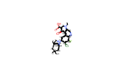 CCn1cc(C(=O)O)c(=O)c2c3cc(N4CC5(C)CC4CC(C)(C)C5)c(Cl)c(F)c3ncc21